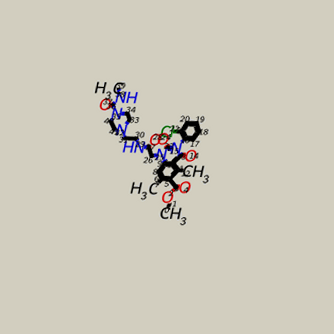 CCOC(=O)c1c(C)cc2c(c1C)c(=O)n(-c1ccccc1Cl)c(=O)n2CC(=O)NCCN1CCN(C(=O)NC)CC1